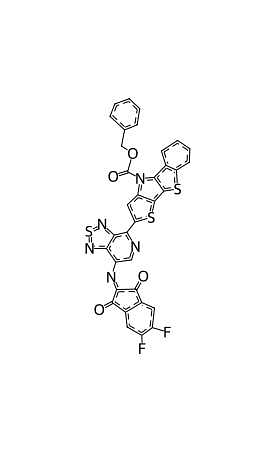 O=C(OCc1ccccc1)n1c2cc(-c3ncc(N=c4c(=O)c5cc(F)c(F)cc5c4=O)c4nsnc34)sc2c2sc3ccccc3c21